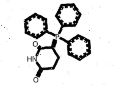 O=C1CCC(=P(c2ccccc2)(c2ccccc2)c2ccccc2)C(=O)N1